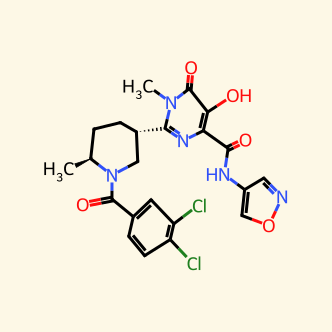 C[C@H]1CC[C@H](c2nc(C(=O)Nc3cnoc3)c(O)c(=O)n2C)CN1C(=O)c1ccc(Cl)c(Cl)c1